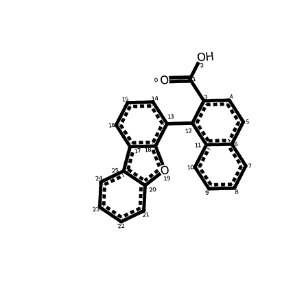 O=C(O)c1ccc2ccccc2c1-c1cccc2c1oc1ccccc12